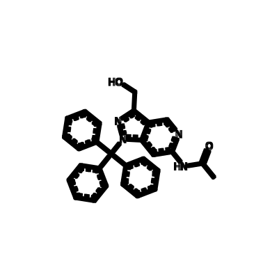 CC(=O)Nc1cc2c(cn1)c(CO)nn2C(c1ccccc1)(c1ccccc1)c1ccccc1